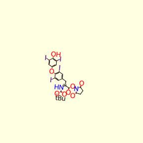 CC(C)(C)OC(=O)N[C@@H](Cc1cc(I)c(Oc2cc(I)c(O)c(I)c2)c(I)c1)C(=O)ON1C(=O)CCC1=O